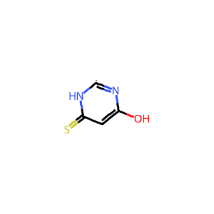 Oc1cc(=S)[nH][c]n1